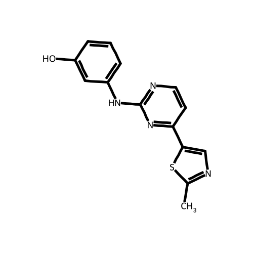 Cc1ncc(-c2ccnc(Nc3cccc(O)c3)n2)s1